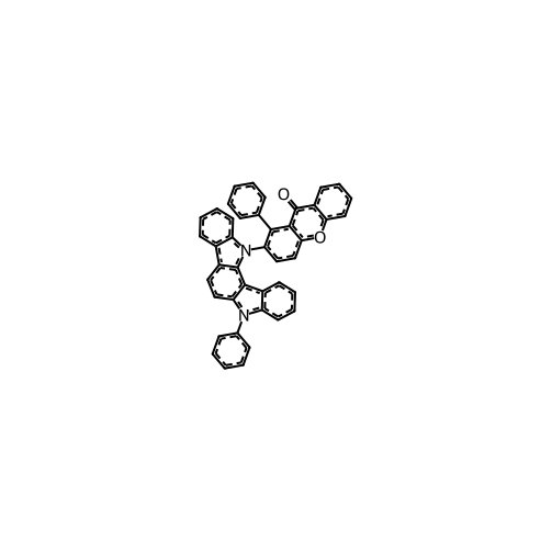 O=c1c2ccccc2oc2ccc(-n3c4ccccc4c4ccc5c(c6ccccc6n5-c5ccccc5)c43)c(-c3ccccc3)c12